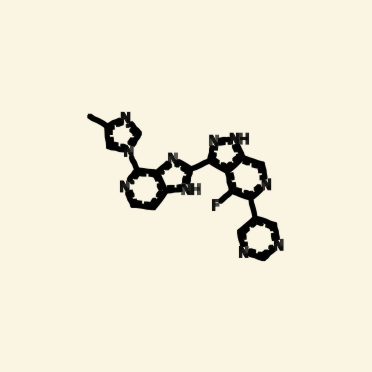 Cc1cn(-c2nccc3[nH]c(-c4n[nH]c5cnc(-c6cncnc6)c(F)c45)nc23)cn1